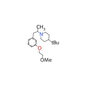 COCCOc1cccc(CC(C)N2CCC(C(C)(C)C)CC2)c1